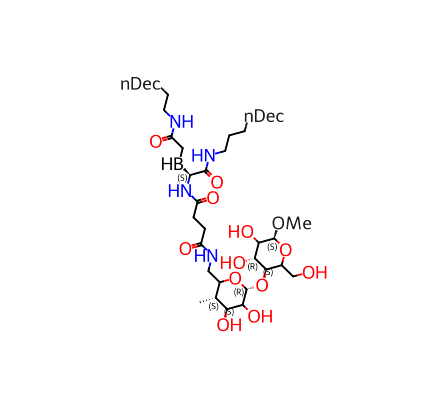 CCCCCCCCCCCCCNC(=O)[C@H](BCC(=O)NCCCCCCCCCCCC)NC(=O)CCC(=O)NCC1O[C@H](O[C@@H]2C(CO)O[C@H](OC)C(O)[C@H]2O)C(O)[C@@H](O)[C@@H]1C